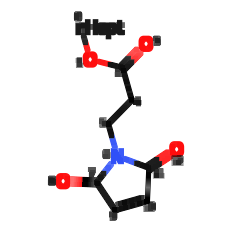 CCCCCCCOC(=O)CCN1C(=O)C=CC1=O